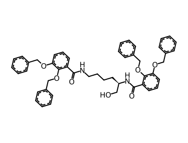 O=C(NCCCC[C@H](CO)NC(=O)c1cccc(OCc2ccccc2)c1OCc1ccccc1)c1cccc(OCc2ccccc2)c1OCc1ccccc1